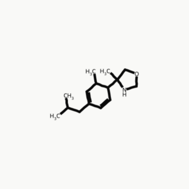 CC(C)CC1=CC(C)C(C2(C)COCN2)C=C1